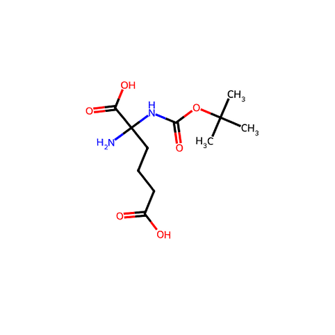 CC(C)(C)OC(=O)NC(N)(CCCC(=O)O)C(=O)O